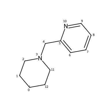 [CH]1CCN(Cc2ccccn2)CC1